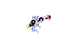 Cc1cc(OCc2ncco2)cnc1C(=O)Nc1ccc(F)c([C@@]2(C)N=C(N)S[C@@]3(C(F)F)C[C@@H]23)c1